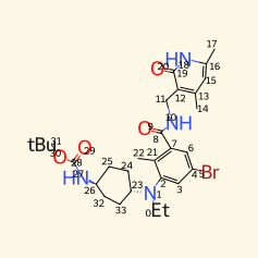 CCN(c1cc(Br)cc(C(=O)NCc2c(C)cc(C)[nH]c2=O)c1C)[C@H]1CC[C@H](NC(=O)OC(C)(C)C)CC1